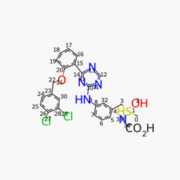 C[SH](O)(Cc1cccc(Nc2ncnc(-c3ccccc3OCc3ccc(Cl)c(Cl)c3)n2)c1)=NC(=O)O